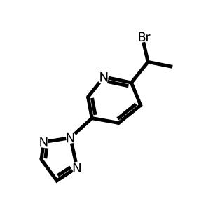 CC(Br)c1ccc(-n2nccn2)cn1